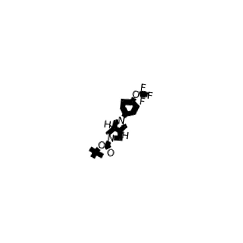 CC(C)(C)OC(=O)N1C[C@@H]2CN(c3ccc(OC(F)(F)F)cc3)C[C@@H]2C1